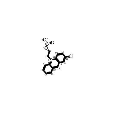 O=[N+]([O-])OCCS1=c2ccccc2=Cc2cc(Cl)ccc21